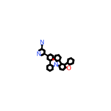 N#Cc1cncc(-c2cccc(-c3ccccc3-n3c4ccccc4c4c5c(ccc43)oc3ccccc35)c2)c1